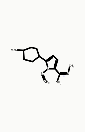 C=Nn1c(/C(N)=N\C)ccc1C1CCC(NC)CC1